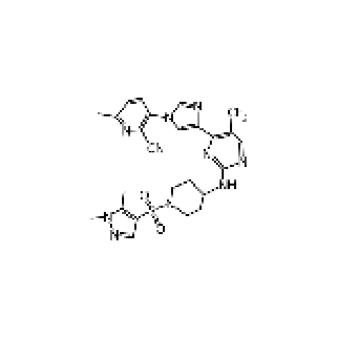 Cc1ccc(-n2cnc(-c3nc(NC4CCN(S(=O)(=O)c5cnn(C)c5C)CC4)ncc3C(F)(F)F)c2)c(C#N)n1